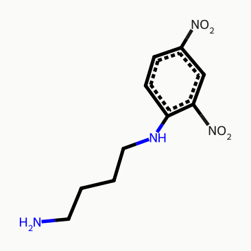 NCCCCNc1ccc([N+](=O)[O-])cc1[N+](=O)[O-]